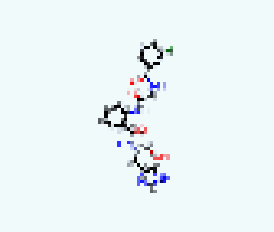 C[C@@H](NC(=O)c1cccc(F)c1)C(=O)Nc1ccccc1C(=O)N[C@H](CO)Cc1c[nH]cn1